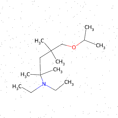 CCN(CC)C(C)(C)CC(C)(C)COC(C)C